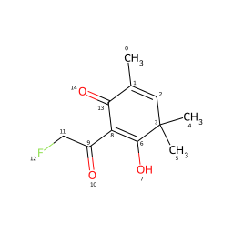 CC1=CC(C)(C)C(O)=C(C(=O)CF)C1=O